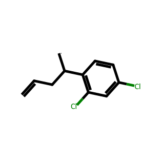 [CH2]C(CC=C)c1ccc(Cl)cc1Cl